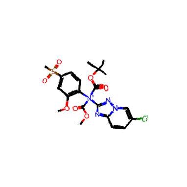 [CH2]OC(=O)[N+](C(=O)OC(C)(C)C)(c1nc2ccc(Cl)cn2n1)c1ccc(S(C)(=O)=O)cc1OC